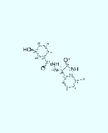 Cc1cccc2c1NC(=O)/C2=N\NC(=O)c1cccc(O)c1